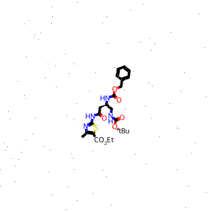 CCOC(=O)c1sc(NC(=O)C[C@H](CNC(=O)OC(C)(C)C)NC(=O)OCc2ccccc2)nc1C